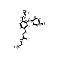 CCOC(=O)CCc1ccc(CNC)c(Oc2ccc(Cl)cc2)c1